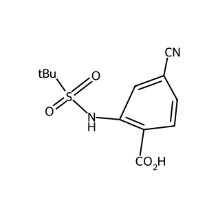 CC(C)(C)S(=O)(=O)Nc1cc(C#N)ccc1C(=O)O